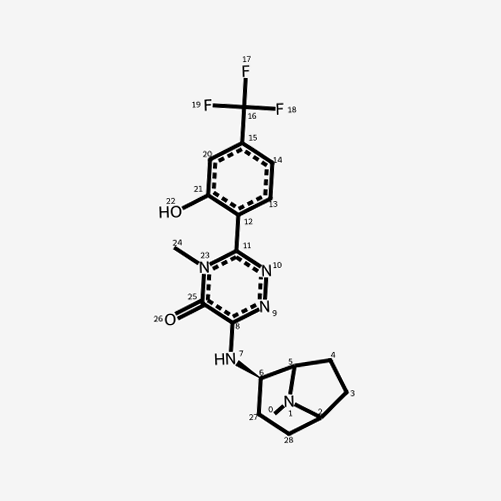 CN1C2CCC1[C@H](Nc1nnc(-c3ccc(C(F)(F)F)cc3O)n(C)c1=O)CC2